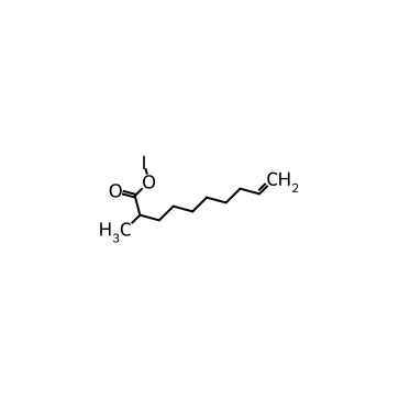 C=CCCCCCCC(C)C(=O)OI